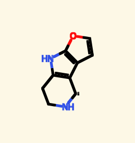 [C]1NCCc2[nH]c3occc3c21